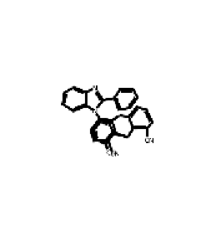 N#Cc1cccc2c1C1c3c(C#N)cccc3C2c2c(-n3c(-c4ccccc4)nc4ccccc43)ccc(C#N)c21